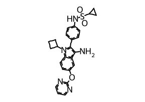 Nc1c(-c2ccc(NS(=O)(=O)C3CC3)cc2)n(C2CCC2)c2ccc(Oc3ncccn3)cc12